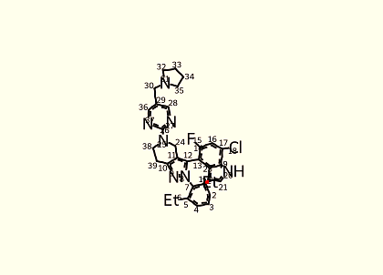 CCc1cccc(CC)c1-n1nc2c(c1-c1c(F)cc(Cl)c3[nH]ccc13)CN(c1ncc(CN3CCCC3)cn1)CC2